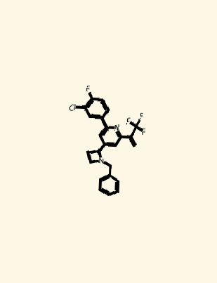 C=C(c1cc(C2CCN2Cc2ccccc2)cc(-c2ccc(F)c(Cl)c2)n1)C(F)(F)F